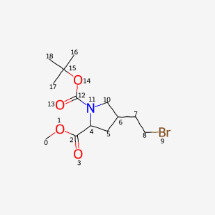 COC(=O)C1CC(CCBr)CN1C(=O)OC(C)(C)C